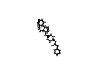 C/C(=C\c1ccccc1)CN1CCN(CC2ON=C3c4ccnnc4OCC32)CC1